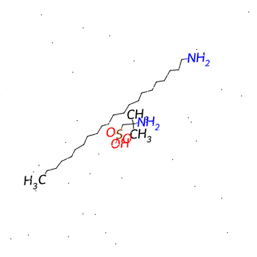 CC(C)(N)CS(=O)(=O)O.CCCCCCCCCCCCCCCCCCCCCCN